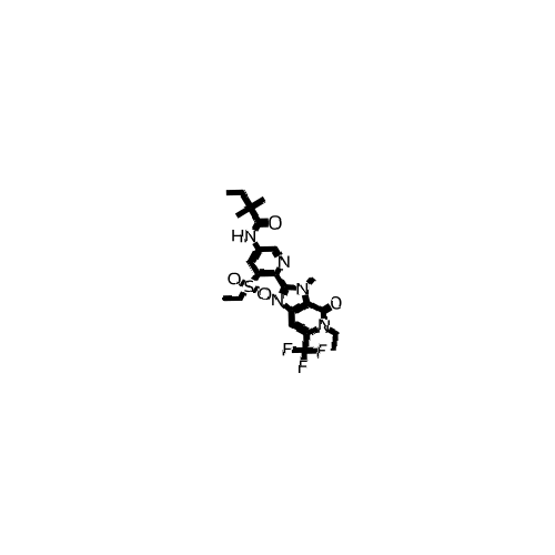 CCn1c(C(F)(F)F)cc2nc(-c3ncc(NC(=O)C(C)(C)CC)cc3S(=O)(=O)CC)n(C)c2c1=O